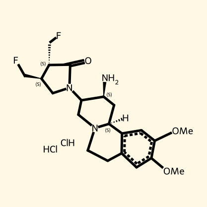 COc1cc2c(cc1OC)[C@@H]1C[C@H](N)C(N3C[C@@H](CF)[C@H](CF)C3=O)CN1CC2.Cl.Cl